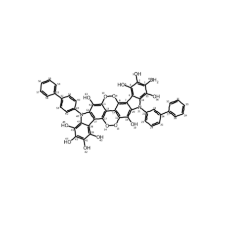 Bc1c(O)c(O)c2c3c4ooc5c6c(ooc(c4-6)c(O)c3n(-c3cccc(-c4ccccc4)c3)c2c1O)c1c2c(O)c(O)c(O)c(O)c2n(-c2ccc(-c3ccccc3)cc2)c1c5O